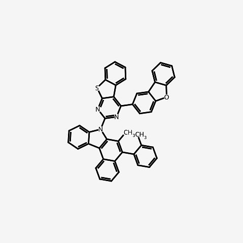 Cc1ccccc1-c1c(C)c2c(c3ccccc13)c1ccccc1n2-c1nc(-c2ccc3oc4ccccc4c3c2)c2c(n1)sc1ccccc12